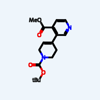 COC(=O)c1ccncc1C1=CCN(C(=O)OC(C)(C)C)CC1